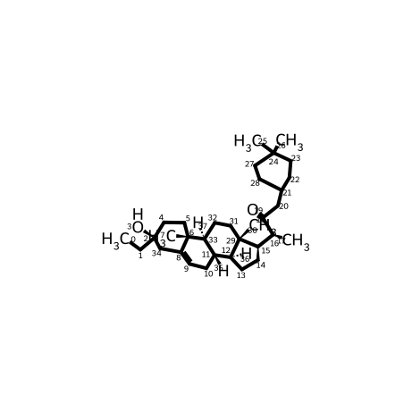 CC[C@]1(O)CC[C@@]2(C)C(=CC[C@H]3[C@@H]4CC[C@H]([C@H](C)C(=O)CC5CCC(C)(C)CC5)[C@@]4(C)CC[C@@H]32)C1